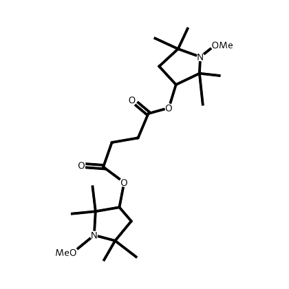 CON1C(C)(C)CC(OC(=O)CCC(=O)OC2CC(C)(C)N(OC)C2(C)C)C1(C)C